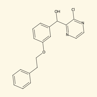 OC(c1cccc(OCCc2ccccc2)c1)c1nccnc1Cl